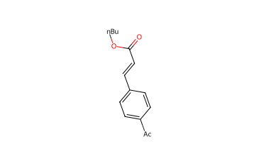 CCCCOC(=O)C=Cc1ccc(C(C)=O)cc1